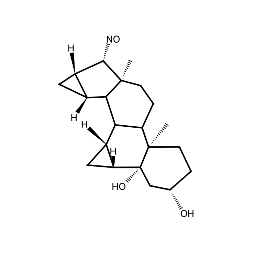 C[C@]12CCC3C(C1[C@@H]1C[C@@H]1[C@@H]2N=O)[C@H]1C[C@H]1[C@]1(O)C[C@@H](O)CC[C@]31C